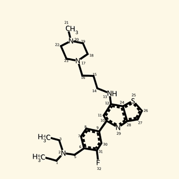 CCN(CC)Cc1ccc(-c2cc(NCCCN3CCN(C)CC3)c3sccc3n2)cc1F